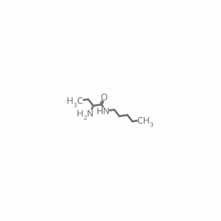 CCCCCNC(=O)C(N)CC